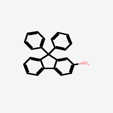 Bc1ccc2c(c1)C(c1ccccc1)(c1ccccc1)c1ccccc1-2